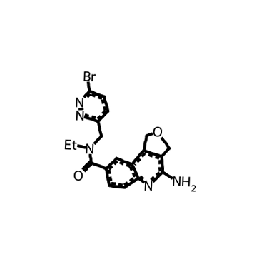 CCN(Cc1ccc(Br)nn1)C(=O)c1ccc2nc(N)c3c(c2c1)COC3